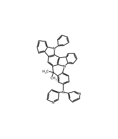 CC1(C)c2cc(N(c3cccnc3)c3cccnc3)ccc2-n2c3ccccc3c3c2c1cc1c2ccccc2n(-c2ccccc2)c13